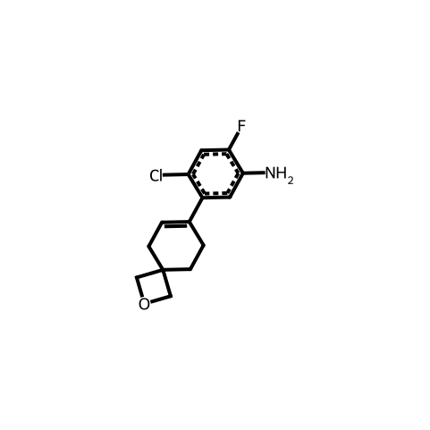 Nc1cc(C2=CCC3(CC2)COC3)c(Cl)cc1F